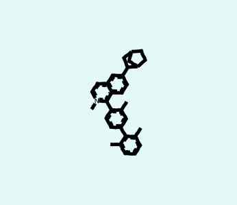 Cc1cc(-c2c(C)cccc2C)ccc1-c1c2ccc(C3CC4CCC3C4)cc2cc[n+]1C